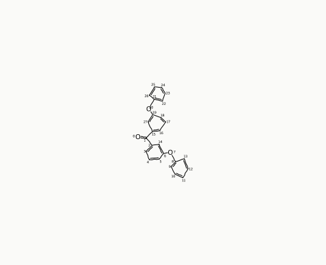 O=C(c1cccc(Oc2ccccc2)c1)c1cccc(Oc2ccccc2)c1